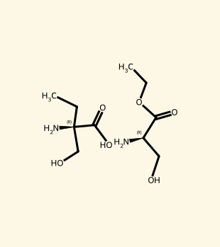 CCOC(=O)[C@H](N)CO.CC[C@@](N)(CO)C(=O)O